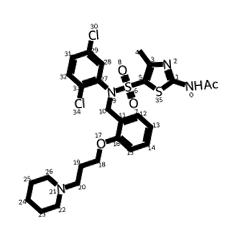 CC(=O)Nc1nc(C)c(S(=O)(=O)N(Cc2ccccc2OCCCN2CCCCC2)c2cc(Cl)ccc2Cl)s1